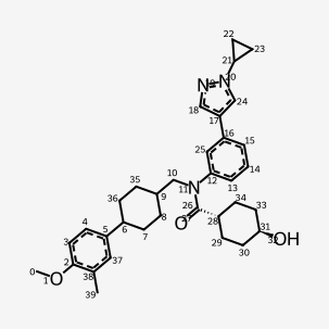 COc1ccc(C2CCC(CN(c3cccc(-c4cnn(C5CC5)c4)c3)C(=O)[C@H]3CC[C@H](O)CC3)CC2)cc1C